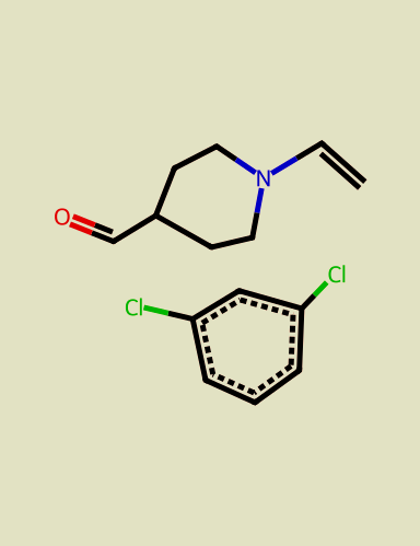 C=CN1CCC(C=O)CC1.Clc1cccc(Cl)c1